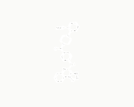 COc1ccccc1N1CCN(C(=O)c2ccc(Nc3nc4ccccc4n4nnnc34)cc2)CC1